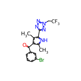 Cc1[nH]c(-c2nnn(CC(F)(F)F)n2)c(C)c1C(=O)c1cccc(Br)c1